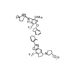 COc1nc(O[C@H]2CCc3c(-c4cccc(-c5nc6cc7c(c(C(F)(F)F)c6o5)CC[C@H]7N5CC[C@@H](C(=O)O)C5)c4C)cccc32)c(C(F)(F)F)nc1CNC[C@H]1CCC(=O)N1